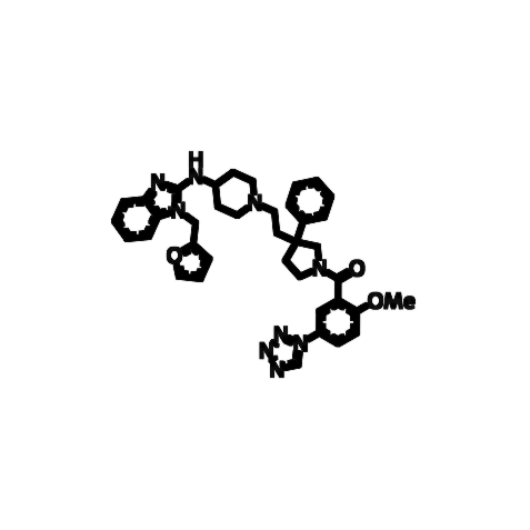 COc1ccc(-n2cnnn2)cc1C(=O)N1CCC(CCN2CCC(Nc3nc4ccccc4n3Cc3ccco3)CC2)(c2ccccc2)C1